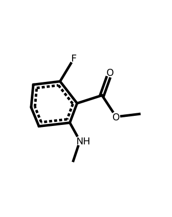 CNc1cccc(F)c1C(=O)OC